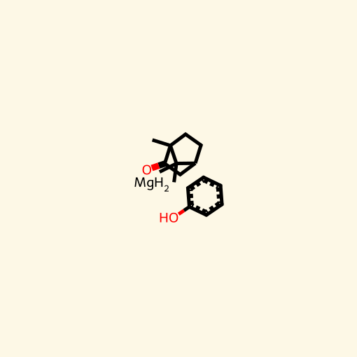 CC12CCC(CC1=O)C2(C)C.Oc1ccccc1.[MgH2]